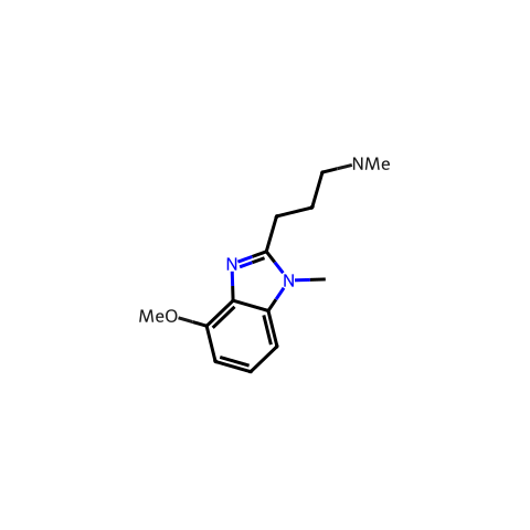 CNCCCc1nc2c(OC)cccc2n1C